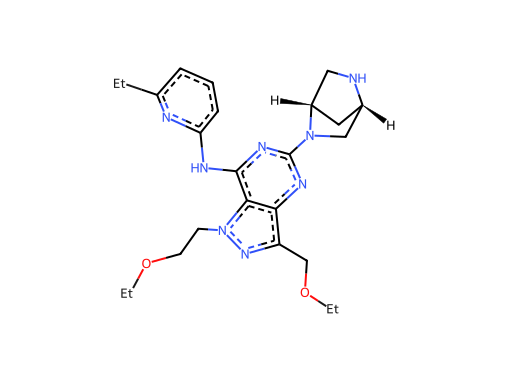 CCOCCn1nc(COCC)c2nc(N3C[C@@H]4C[C@H]3CN4)nc(Nc3cccc(CC)n3)c21